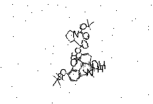 CN1CC[C@]23c4c5ccc(O[Si](C)(C)C(C)(C)C)c4O[C@H]2C(OC(=O)C2CCCN2C(=O)OC(C)(C)C)=CC[C@@]3(O)[C@H]1C5